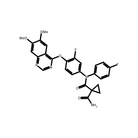 COc1cc2ncnc(Oc3ccc(N(C(=O)C4(C(N)=O)CC4)c4ccc(F)cc4)cc3F)c2cc1OC